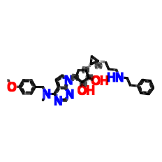 COc1ccc(CN(C)c2ncnc3c2ccn3[C@@H]2C[C@H](C3C[C@@H]3CCCNCCc3ccccc3)[C@@H](O)[C@H]2O)cc1